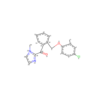 Cc1cc(Cl)ccc1OCc1ccccc1C(=O)c1nccn1C